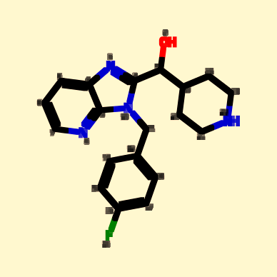 OC(c1nc2cccnc2n1Cc1ccc(F)cc1)C1CCNCC1